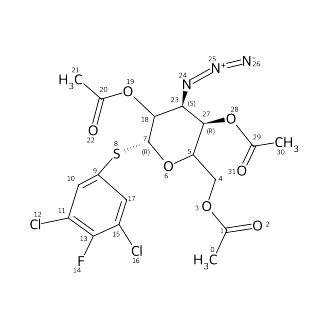 CC(=O)OCC1O[C@H](Sc2cc(Cl)c(F)c(Cl)c2)C(OC(C)=O)[C@@H](N=[N+]=[N-])[C@H]1OC(C)=O